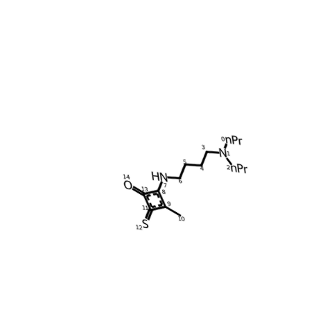 CCCN(CCC)CCCCNc1c(C)c(=S)c1=O